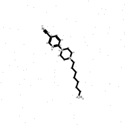 CCCCCCCCN1CCN(c2ccc(C#N)cn2)CC1